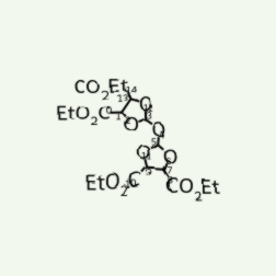 CCOC(=O)C1OC(OC2OC(C(=O)OCC)C(C(=O)OCC)O2)OC1C(=O)OCC